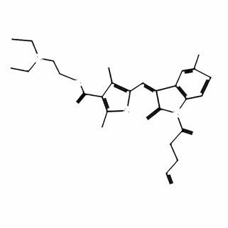 CCN(CC)CCNC(=O)c1c(C)[nH]c(/C=C2\C(=O)N(C(=O)CCC=O)c3ccc(F)cc32)c1C